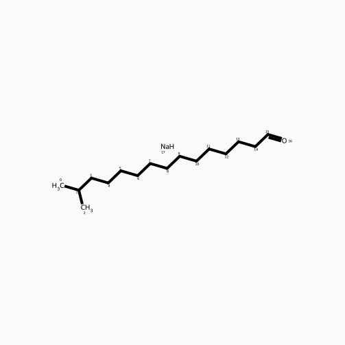 CC(C)CCCCCCCCCCCCC=O.[NaH]